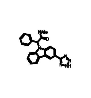 CNC(=O)C(c1ccccc1)n1c2ccccc2c2cc(-c3nn[nH]n3)ccc21